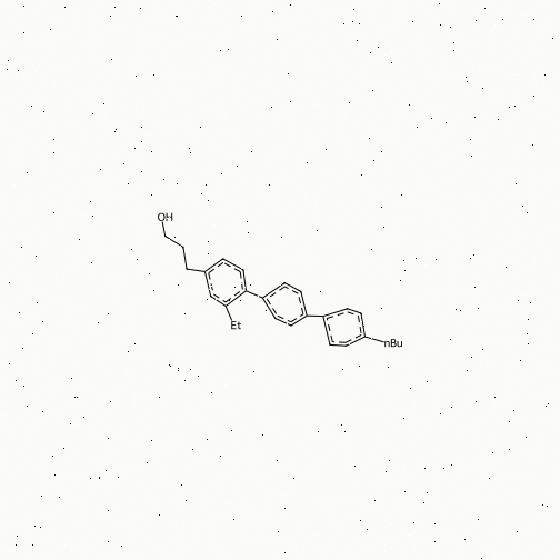 CCCCc1ccc(-c2ccc(-c3ccc(CCCO)cc3CC)cc2)cc1